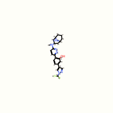 CN(c1ccc(-c2ccc(-c3cnn(C(F)F)c3)cc2O)nn1)C1CC2CCCC(C1)N2